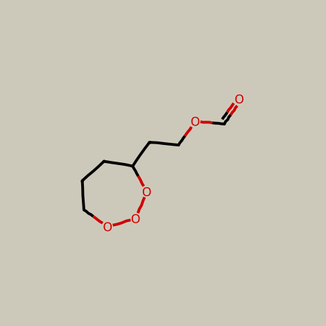 O=COCCC1CCCOOO1